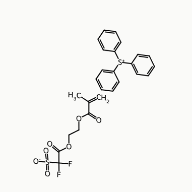 C=C(C)C(=O)OCCOC(=O)C(F)(F)S(=O)(=O)[O-].c1ccc([S+](c2ccccc2)c2ccccc2)cc1